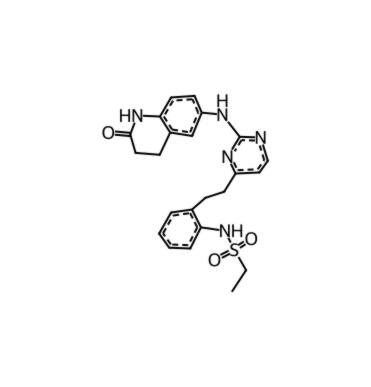 CCS(=O)(=O)Nc1ccccc1CCc1ccnc(Nc2ccc3c(c2)CCC(=O)N3)n1